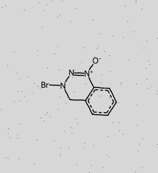 [O-][N+]1=NN(Br)Cc2ccccc21